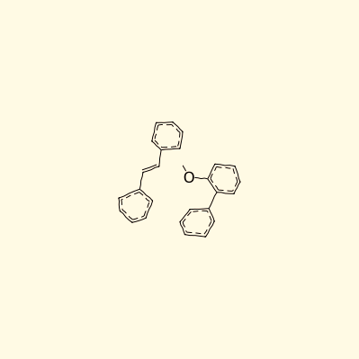 C(=Cc1ccccc1)c1ccccc1.COc1ccccc1-c1ccccc1